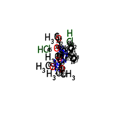 CCOc1nc(OC)c(CN2CC(C(c3ccccc3)c3ccccc3)N3CCN(C(=O)CCOC)C[C@H]3C2)c(OC(C)C)n1.Cl.Cl